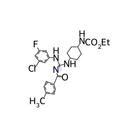 CCOC(=O)NC1CCC(N/C(=N\C(=O)c2ccc(C)cc2)Nc2cc(F)cc(Cl)c2)CC1